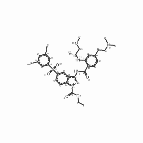 CCOC(=O)n1nc(NC(=O)c2ccc(CCN(C)C)cc2N[C@@H](C)COC)c2cc(S(=O)(=O)c3cc(F)cc(F)c3)ccc21